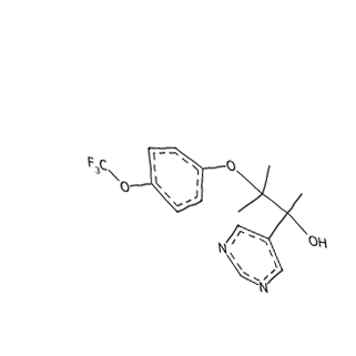 CC(C)(Oc1ccc(OC(F)(F)F)cc1)C(C)(O)c1cncnc1